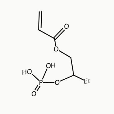 C=CC(=O)OCC(CC)OP(=O)(O)O